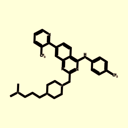 CN(C)CCCN1CCN(Cc2nc(Nc3ccc(C(F)(F)F)cc3)c3ccc(-c4ncccc4C(F)(F)F)cc3n2)CC1